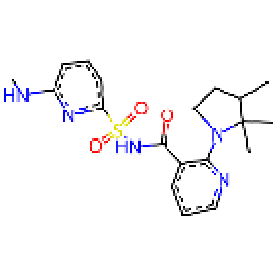 CNc1cccc(S(=O)(=O)NC(=O)c2cccnc2N2CCC(C)C2(C)C)n1